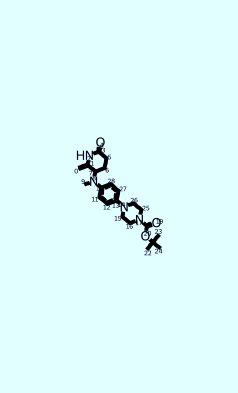 C=C1NC(=O)CCC1N(C)c1ccc(N2CCN(C(=O)OC(C)(C)C)CC2)cc1